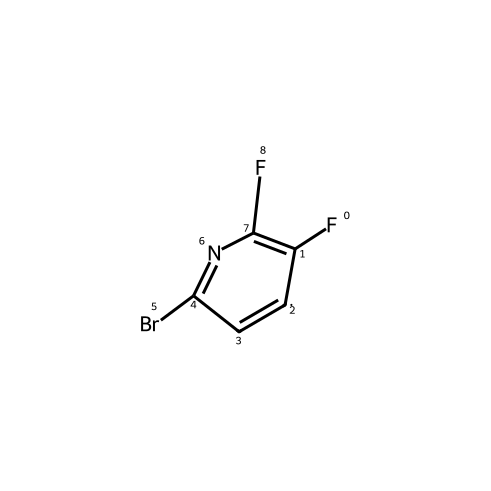 Fc1[c]cc(Br)nc1F